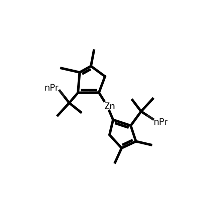 CCCC(C)(C)C1=[C]([Zn][C]2=C(C(C)(C)CCC)C(C)=C(C)C2)CC(C)=C1C